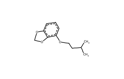 CC(C)CCOc1cccc2c1OCO2